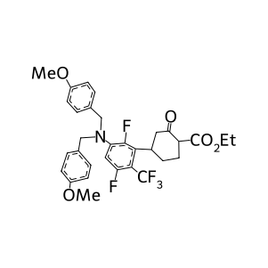 CCOC(=O)C1CCC(c2c(F)c(N(Cc3ccc(OC)cc3)Cc3ccc(OC)cc3)cc(F)c2C(F)(F)F)CC1=O